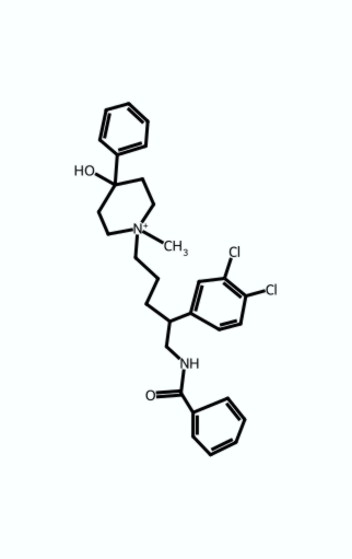 C[N+]1(CCCC(CNC(=O)c2ccccc2)c2ccc(Cl)c(Cl)c2)CCC(O)(c2ccccc2)CC1